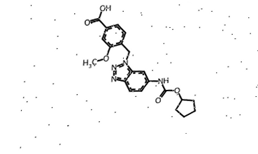 COc1cc(C(=O)O)ccc1Cn1nnc2ccc(NC(=O)OC3CCCC3)cc21